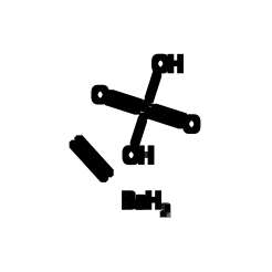 C=C.O=S(=O)(O)O.[BaH2]